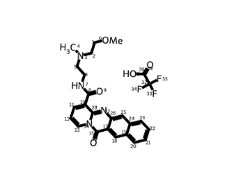 COCCN(C)CCNC(=O)c1cccn2c(=O)c3cc4ccccc4cc3nc12.O=C(O)C(F)(F)F